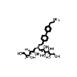 C[C@H](CO)[C@@H](O)[C@H](O)[C@@H](O)CN(CCc1ccc(-c2ccc(CCN)cc2)cc1)C[C@H](O)[C@@H](O)[C@H](O)[C@H](O)CO